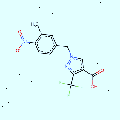 Cc1cc(Cn2cc(C(=O)O)c(C(F)(F)F)n2)ccc1[N+](=O)[O-]